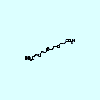 O=C(O)CCOCCOCCOCC(=O)O